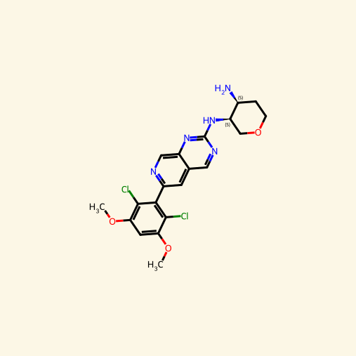 COc1cc(OC)c(Cl)c(-c2cc3cnc(N[C@@H]4COCC[C@@H]4N)nc3cn2)c1Cl